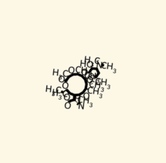 CC[C@H]1OC(=O)[C@H](C)C(=O)[C@H](C)[C@@H](O[C@@H]2O[C@H](C)C[C@H](N(C)C)[C@H]2O)[C@](C)(OC)C[C@@H](C)C(=O)[C@H](C)[C@H]2[C@H](C#N)C(=O)O[C@@]21C